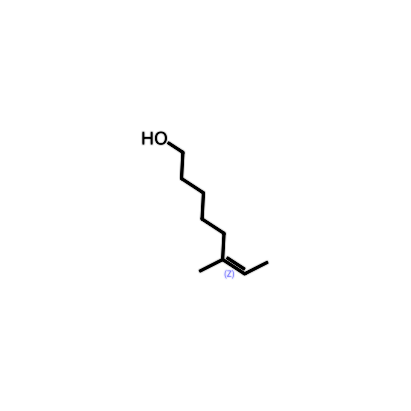 C/C=C(/C)CCCCCO